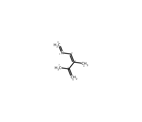 C=N/C=C(/C)C(=C)C